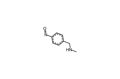 CNCc1ccc(N=O)cc1